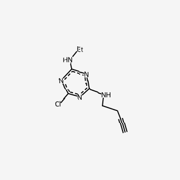 C#CCCNc1nc(Cl)nc(NCC)n1